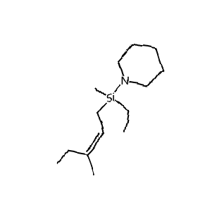 CCC(C)=CC[Si](C)(CC)N1CCCCC1